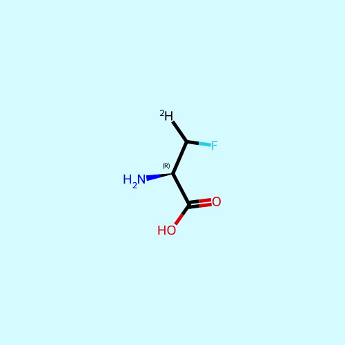 [2H]C(F)[C@H](N)C(=O)O